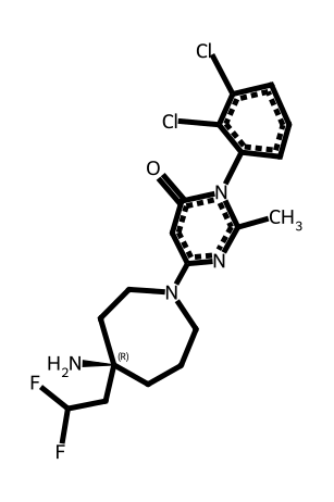 Cc1nc(N2CCC[C@](N)(CC(F)F)CC2)cc(=O)n1-c1cccc(Cl)c1Cl